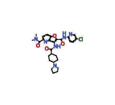 CN(C)C(=O)c1ccc2oc(C(=O)Nc3ccc(Cl)cn3)c(NC(=O)[C@H]3CC[C@H](N4CCCC4)CC3)c2n1